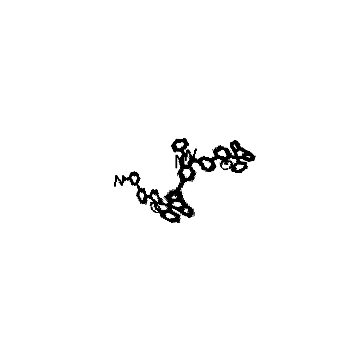 N#Cc1cccc(-c2cccc(-c3cccc4c3Oc3ccccc3C43C4=C(C=CCC4)c4cc(-c5ccc6c(-c7cccc(-c8cccc9c8Oc8ccccc8C98c9ccccc9-c9ccccc98)c7)nc(-c7ccccc7)nc6c5)ccc43)c2)c1